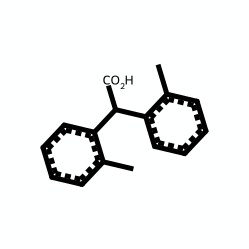 Cc1ccccc1C(C(=O)O)c1ccccc1C